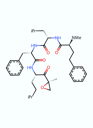 CN[C@@H](CCc1ccccc1)C(=O)N[C@@H](CC(C)C)C(=O)N[C@@H](Cc1ccccc1)C(=O)N[C@@H](CCC(C)C)C(=O)[C@@]1(C)CO1